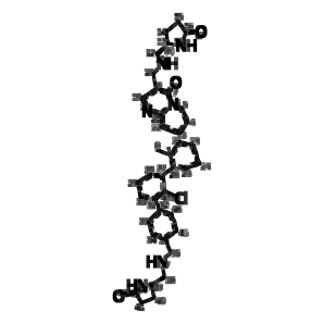 Cc1c(-c2ccn3c(=O)c(CNC[C@H]4CCC(=O)N4)cnc3c2)cccc1-c1cccc(-c2ccc(CNC[C@H]3CCC(=O)N3)cc2)c1Cl